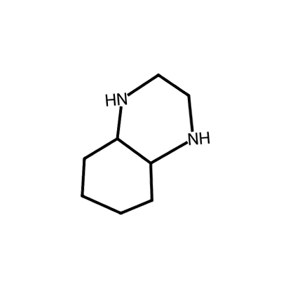 C1CCC2NCCNC2C1